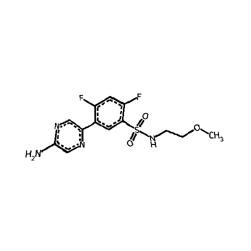 COCCNS(=O)(=O)c1cc(-c2cnc(N)cn2)c(F)cc1F